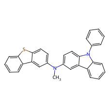 CN(c1ccc2sc3ccccc3c2c1)c1ccc2c(c1)c1ccccc1n2-c1ccccc1